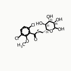 COc1c(Cl)ccc(Cl)c1C(=O)SC[C@H]1OC(O)[C@H](O)[C@@H](O)[C@@H]1O